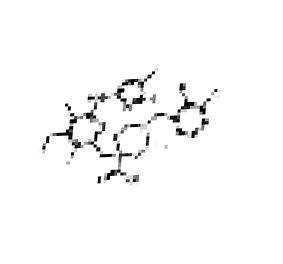 CCc1c(C)c(Nc2cc(C)[nH]n2)nc(C[C@@]2(C(=O)O)CCN(Cc3cccc(Cl)c3F)[C@H](C)C2)c1F